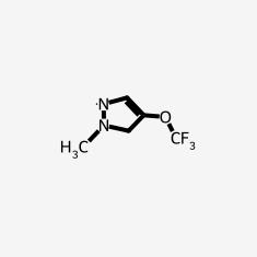 CN1CC(OC(F)(F)F)=C[N]1